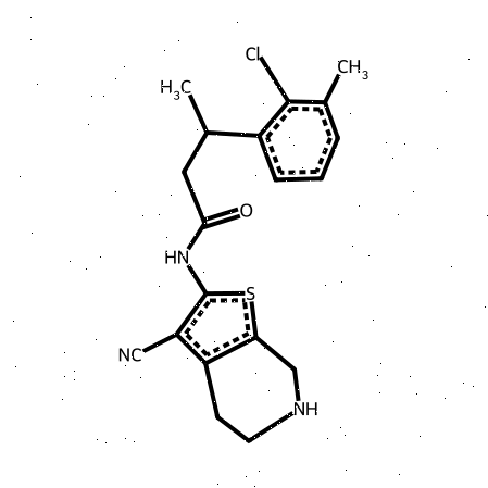 Cc1cccc(C(C)CC(=O)Nc2sc3c(c2C#N)CCNC3)c1Cl